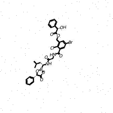 CC(C)C[C@H](NC(=O)CNC(=O)c1cc(Br)cc(COC(=O)[C@@H](O)c2ccccc2)c1Cl)B1OC(=O)[C@H](c2ccccc2)O1